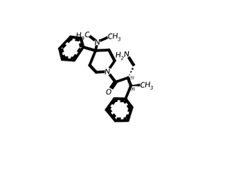 C[C@@H](c1ccccc1)[C@@H](CN)C(=O)N1CCC(c2ccccc2)(N(C)C)CC1